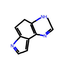 C1=NC2=CCC3=C(N=CCN3)C2=C1